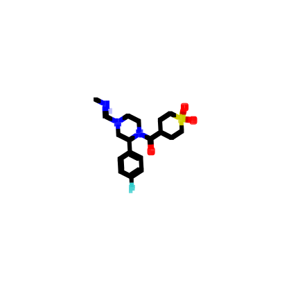 C/N=C/N1CCN(C(=O)C2CCS(=O)(=O)CC2)C(c2ccc(F)cc2)C1